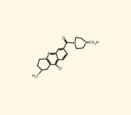 CC1CCc2nc3cc(C(=O)N4CCN(C(=O)O)CC4)ccc3c(Cl)c2C1